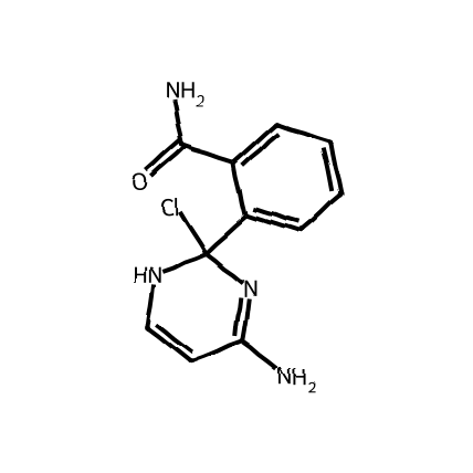 NC(=O)c1ccccc1C1(Cl)N=C(N)C=CN1